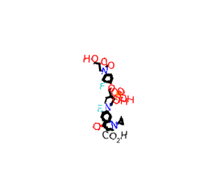 O=C(O)c1cn(C2CC2)c2cc(N3CCC(COc4ccc(N5CC(CO)OC5=O)cc4F)(OP(=O)(O)O)CC3)c(F)cc2c1=O